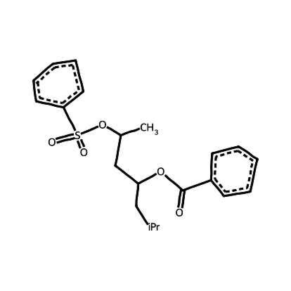 CC(C)CC(CC(C)OS(=O)(=O)c1ccccc1)OC(=O)c1ccccc1